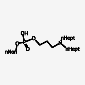 CCCCCCCCCOP(=O)(O)OCCCN(CCCCCCC)CCCCCCC